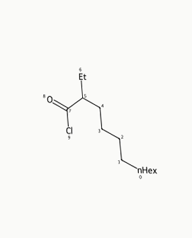 CCCCCCCCCCC(CC)C(=O)Cl